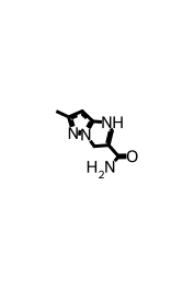 Cc1cc2n(n1)CC(C(N)=O)=CN2